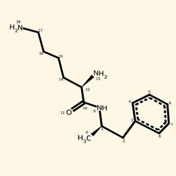 C[C@H](Cc1ccccc1)NC(=O)[C@H](N)CCCCN